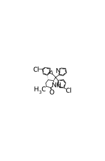 CC1C[C@H](c2cccc(Cl)c2)[C@@H](C(c2ccc(Cl)cc2)(c2ccccn2)C2CC2)NC1=O